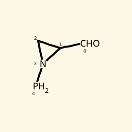 O=CC1CN1P